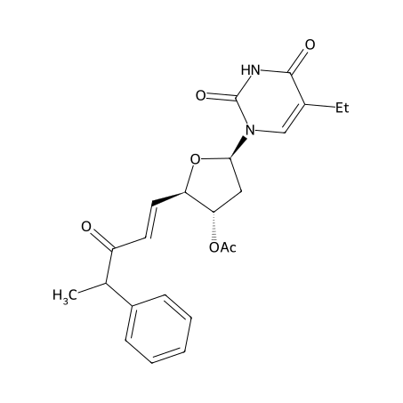 CCc1cn([C@H]2C[C@H](OC(C)=O)[C@@H](/C=C/C(=O)C(C)c3ccccc3)O2)c(=O)[nH]c1=O